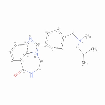 CC(C)CN(C)Cc1ccc(-c2nc3cccc4c3n2CCNC4=O)cc1